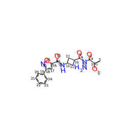 CO[C@H](C)C(=O)N(N)C(=O)C1CC(NC(=O)c2cc(-c3ccccc3)no2)C1